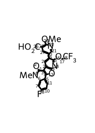 CNC(=O)c1c(-c2ccc(F)cc2)oc2nc(OCC(F)(F)F)c(-c3cnc(OC)c(C(=O)O)c3)cc12